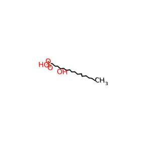 CCCCCCCCCCCCCC(O)CCCS(=O)(=O)O